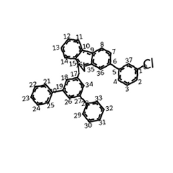 Clc1cccc(-c2ccc3c4ccccc4n(-c4cc(-c5ccccc5)cc(-c5ccccc5)c4)c3c2)c1